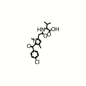 Cc1cc(CC(=O)N[C@H](C(=O)O)C(C)C)n(C)c1C(=O)c1ccc(Cl)cc1